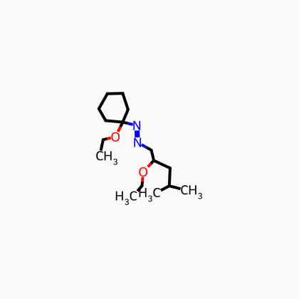 CCOC(CN=NC1(OCC)CCCCC1)CC(C)C